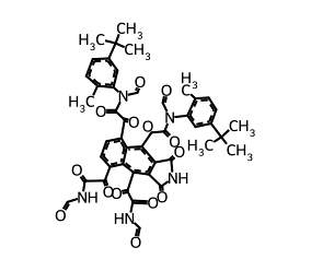 Cc1ccc(C(C)(C)C)cc1N(C=O)C(=O)C(=O)c1ccc(C(=O)C(=O)NC=O)c2c(C(=O)C(=O)NC=O)c3c(c(C(=O)C(=O)N(C=O)c4cc(C(C)(C)C)ccc4C)c12)C(=O)NC3=O